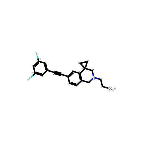 O=C(O)CCN1Cc2ccc(C#Cc3cc(F)cc(F)c3)cc2C2(CC2)C1